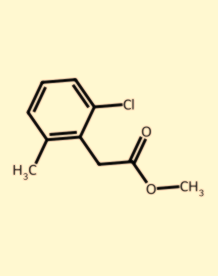 COC(=O)Cc1c(C)cccc1Cl